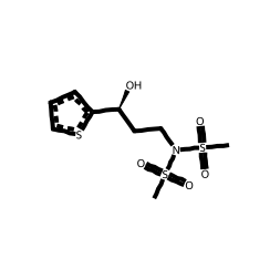 CS(=O)(=O)N(CC[C@H](O)c1cccs1)S(C)(=O)=O